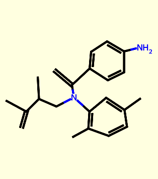 C=C(C)C(C)CN(C(=C)c1ccc(N)cc1)c1cc(C)ccc1C